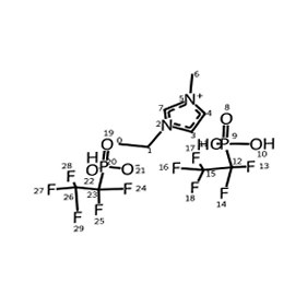 CCn1cc[n+](C)c1.O=P(O)(O)C(F)(F)C(F)(F)F.O=P([O-])(O)C(F)(F)C(F)(F)F